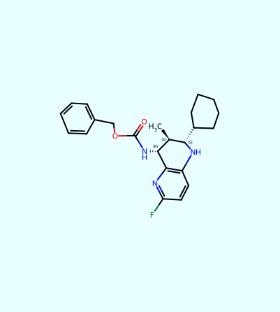 C[C@@H]1[C@@H](NC(=O)OCc2ccccc2)c2nc(F)ccc2N[C@H]1C1CCCCC1